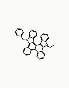 CCn1c2ccccc2c2c3c(c4ccccc4c21)c1ccccc1c1c3c2ccccc2n1Cc1ccccc1